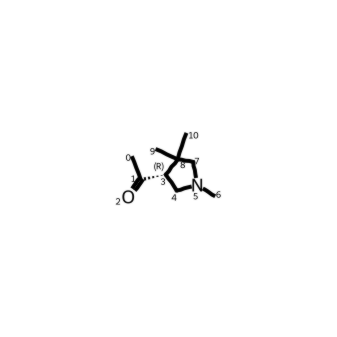 CC(=O)[C@H]1CN(C)CC1(C)C